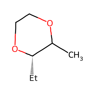 CC[C@@H]1OCCOC1C